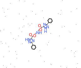 O=C(OCNCOC(=O)c1nc(-c2ccccc2)n[nH]1)c1nc(-c2ccccc2)n[nH]1